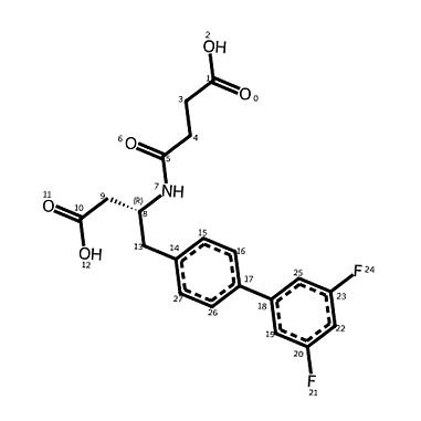 O=C(O)CCC(=O)N[C@@H](CC(=O)O)Cc1ccc(-c2cc(F)cc(F)c2)cc1